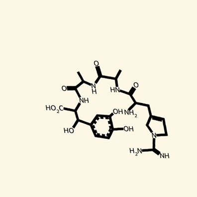 CC(NC(=O)C(N)CC1=CCN(C(=N)N)C1)C(=O)NC(C)C(=O)NC(C(=O)O)C(O)c1ccc(O)c(O)c1